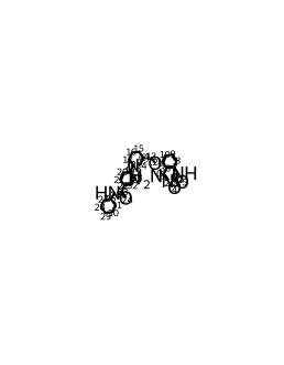 NC1=NS(=O)(=O)Nc2cccc(OC[C@H]3CCCN(c4ccc(C(=O)NC5CCCCC5)cn4)C3)c21